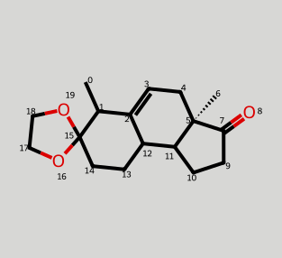 CC1C2=CC[C@@]3(C)C(=O)CCC3C2CCC12OCCO2